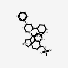 CS(=O)(=O)NC1CC[C@]2(CNCC2C(=O)N2CC[C@@H](c3ccccc3)C[C@H]2C2CCCCC2)c2ccc(Cl)nc21